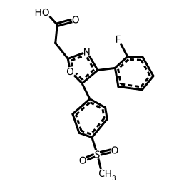 CS(=O)(=O)c1ccc(-c2oc(CC(=O)O)nc2-c2ccccc2F)cc1